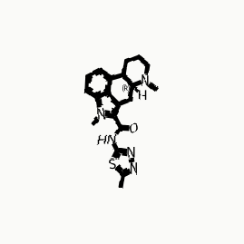 Cc1nnc(NC(=O)c2c3c4c(cccc4n2C)C2CCCN(C)[C@@H]2C3)s1